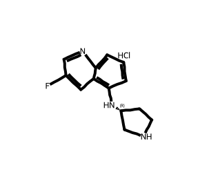 Cl.Fc1cnc2cccc(N[C@@H]3CCNC3)c2c1